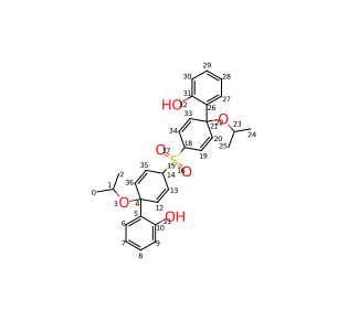 CC(C)OC1(c2ccccc2O)C=CC(S(=O)(=O)C2C=CC(OC(C)C)(c3ccccc3O)C=C2)C=C1